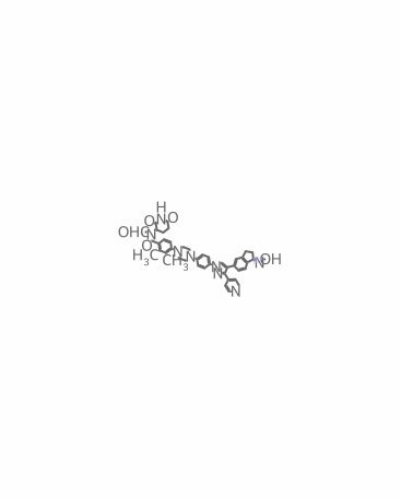 Cc1c(C(=O)N(C=O)C2CCC(=O)NC2=O)ccc(N2CCN(c3ccc(-n4cc(-c5ccc6c(c5)CC/C6=N\O)c(-c5ccncc5)n4)cc3)CC2)c1C